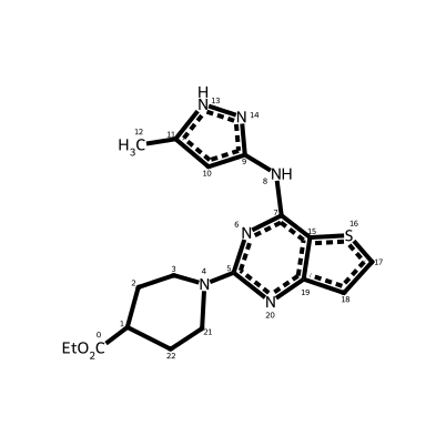 CCOC(=O)C1CCN(c2nc(Nc3cc(C)[nH]n3)c3sccc3n2)CC1